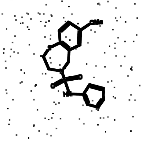 COc1ccc2c(c1)CN(S(=O)(=O)Nc1ccccc1)CCS2